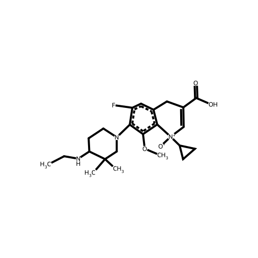 CCNC1CCN(c2c(F)cc3c(c2OC)[N+]([O-])(C2CC2)C=C(C(=O)O)C3)CC1(C)C